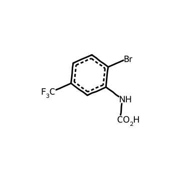 O=C(O)Nc1cc(C(F)(F)F)ccc1Br